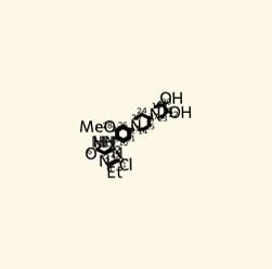 CCc1nc(C(N)=O)c(Nc2ccc(N3CCC(N4C[C@@H](O)[C@H](O)C4)CC3)cc2OC)nc1Cl